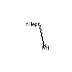 CCCCCCCCCCCCCCCCCN=N